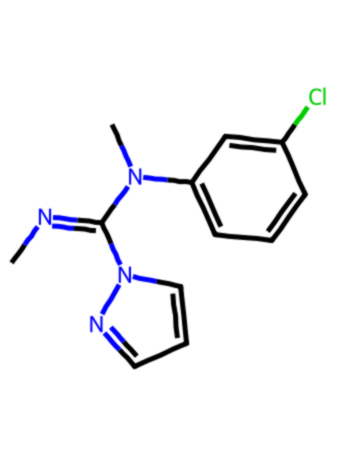 CN=C(N(C)c1cccc(Cl)c1)n1cccn1